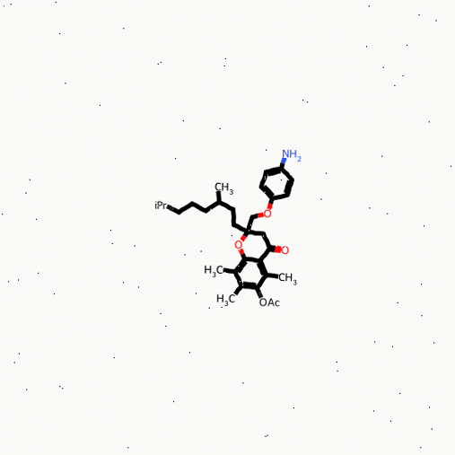 CC(=O)Oc1c(C)c(C)c2c(c1C)C(=O)CC(CCC(C)CCCC(C)C)(COc1ccc(N)cc1)O2